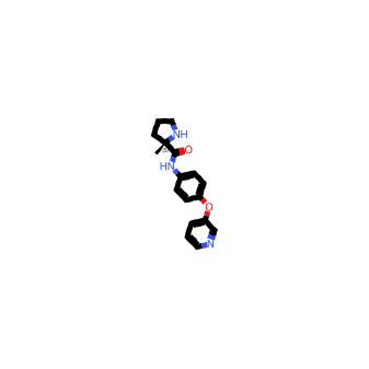 C[C@@]1(C(=O)Nc2ccc(Oc3cccnc3)cc2)CCCN1